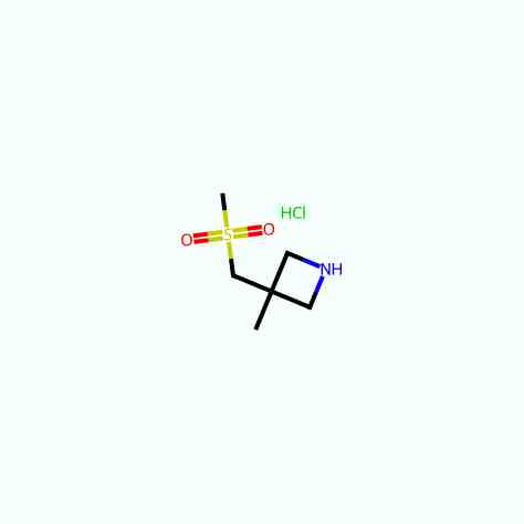 CC1(CS(C)(=O)=O)CNC1.Cl